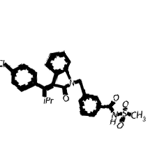 CC(C)/C(=C1\C(=O)N(Cc2cccc(C(=O)NS(C)(=O)=O)c2)c2ccccc21)c1ccc(Cl)cc1